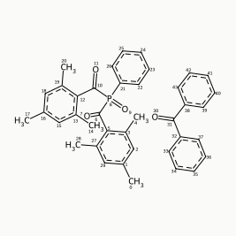 Cc1cc(C)c(C(=O)P(=O)(C(=O)c2c(C)cc(C)cc2C)c2ccccc2)c(C)c1.O=C(c1ccccc1)c1ccccc1